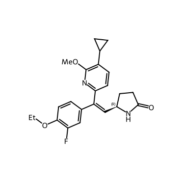 CCOc1ccc(C(=C[C@H]2CCC(=O)N2)c2ccc(C3CC3)c(OC)n2)cc1F